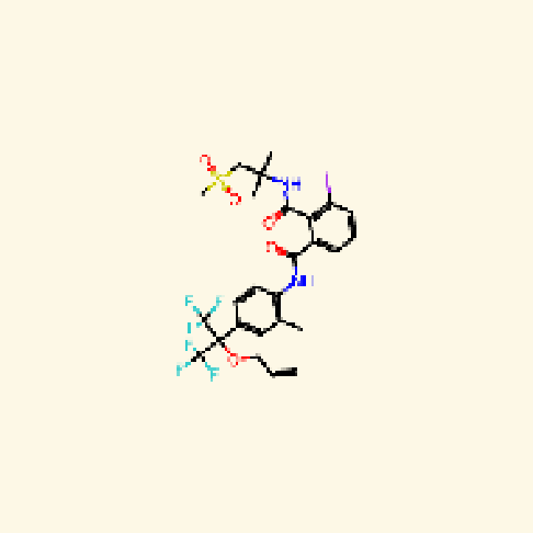 C=CCOC(c1ccc(NC(=O)c2cccc(I)c2C(=O)NC(C)(C)CS(C)(=O)=O)c(C)c1)(C(F)(F)F)C(F)(F)F